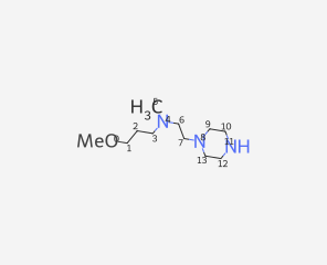 COCCCN(C)CCN1CCNCC1